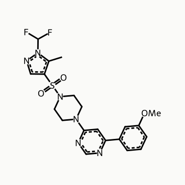 COc1cccc(-c2cc(N3CCN(S(=O)(=O)c4cnn(C(F)F)c4C)CC3)ncn2)c1